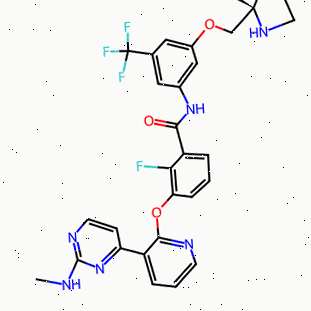 CNc1nccc(-c2cccnc2Oc2cccc(C(=O)Nc3cc(OC[C@]4(C)CCCN4)cc(C(F)(F)F)c3)c2F)n1